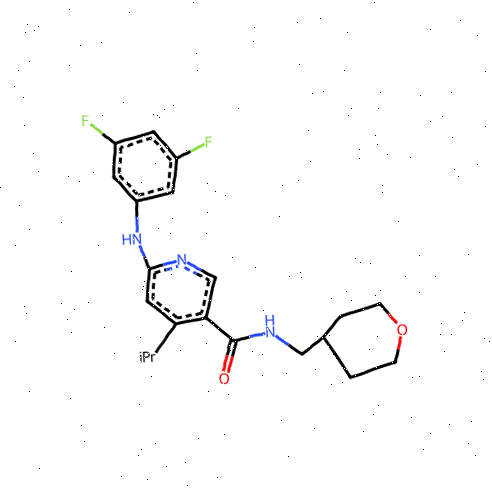 CC(C)c1cc(Nc2cc(F)cc(F)c2)ncc1C(=O)NCC1CCOCC1